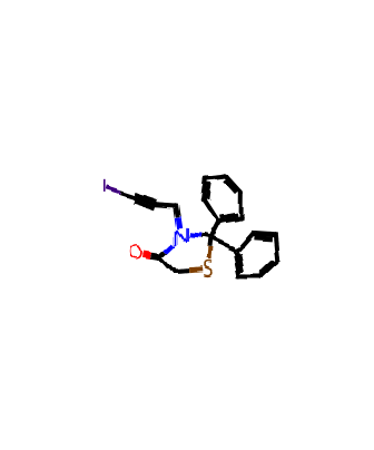 O=C1CSC(c2ccccc2)(c2ccccc2)N1CC#CI